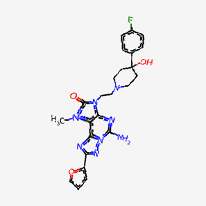 Cn1c(=O)n(CCN2CCC(O)(c3ccc(F)cc3)CC2)c2nc(N)n3nc(-c4ccco4)nc3c21